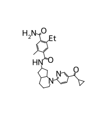 CCc1cc(C(=O)NC2CC3CCCN(c4ccc(C(=O)C5CC5)cn4)C3C2)c(C)cc1C(N)=O